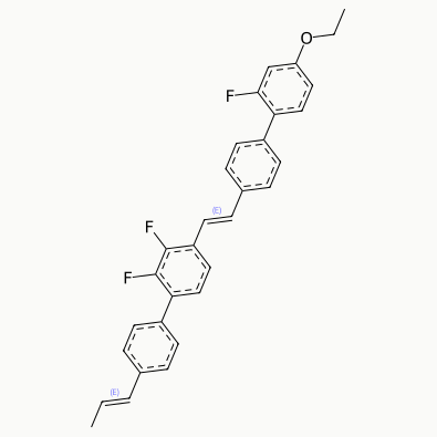 C/C=C/c1ccc(-c2ccc(/C=C/c3ccc(-c4ccc(OCC)cc4F)cc3)c(F)c2F)cc1